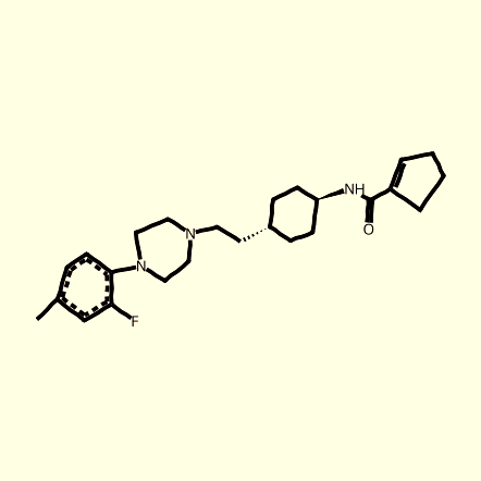 Cc1ccc(N2CCN(CC[C@H]3CC[C@H](NC(=O)C4=CCCC4)CC3)CC2)c(F)c1